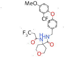 COc1ccc(Oc2ccc(CNC(=O)C3(NC(=O)CC(F)(F)F)CCOCC3)cc2)c(C(F)(F)F)c1